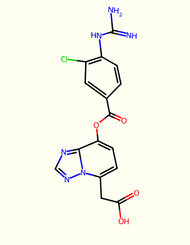 N=C(N)Nc1ccc(C(=O)Oc2ccc(CC(=O)O)n3ncnc23)cc1Cl